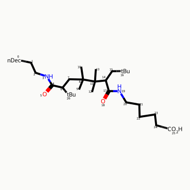 CCCCCCCCCCCCNC(=O)C(CC(C)(C)C(C)(C)C(CC(C)(C)C)C(=O)NCCCCCC(=O)O)C(C)(C)C